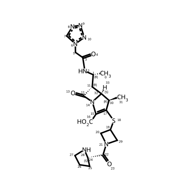 C[C@@H](NC(=O)Cn1cnnn1)[C@H]1C(=O)N2C(C(=O)O)=C(SC3CN(C(=O)[C@@H]4CCCN4)C3)[C@H](C)[C@H]12